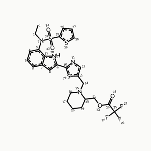 CCN(c1cccc2cc(-c3ncc(CN4CCCCC4COC(=O)C(F)(F)F)s3)[nH]c12)S(=O)(=O)c1cccs1